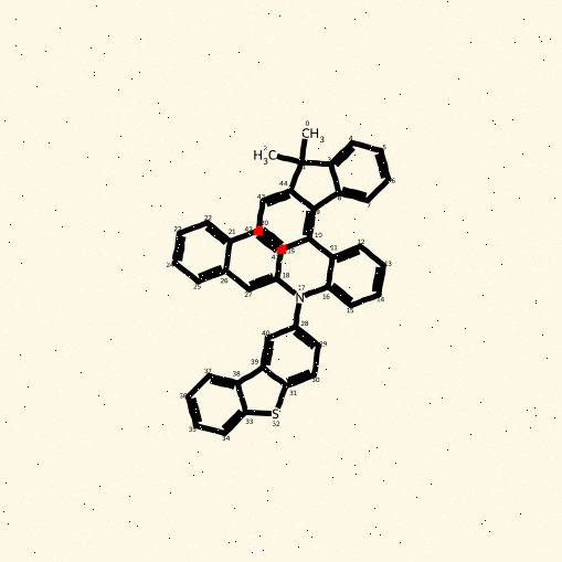 CC1(C)c2ccccc2-c2c(-c3ccccc3N(c3ccc4ccccc4c3)c3ccc4sc5ccccc5c4c3)cccc21